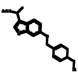 CCSC1C=CC(COc2ccc3c(C(C)NC(C)=O)coc3c2)=CC1